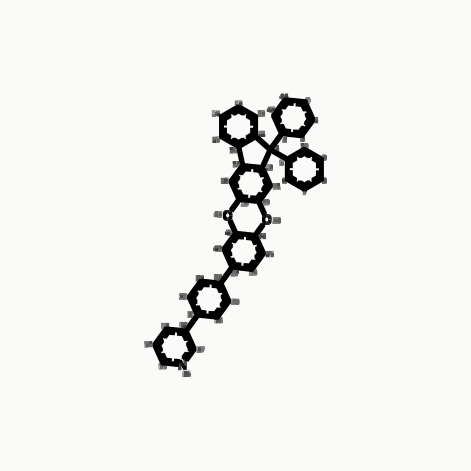 c1ccc(C2(c3ccccc3)c3ccccc3-c3cc4c(cc32)Oc2ccc(-c3ccc(-c5cccnc5)cc3)cc2O4)cc1